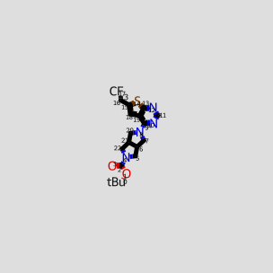 CC(C)(C)OC(=O)N1CC2CN(c3ncnc4sc(CC(F)(F)F)cc34)CC2C1